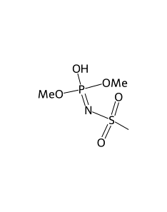 COP(O)(=NS(C)(=O)=O)OC